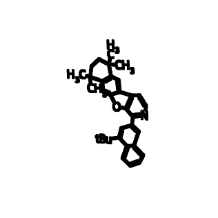 CC(C)(C)c1cc(-c2nccc3c2oc2cc4c(cc23)C(C)(C)CCC4(C)C)cc2ccccc12